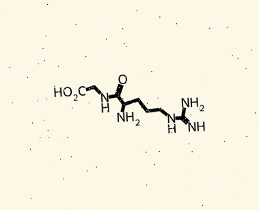 N=C(N)NCCCC(N)C(=O)NCC(=O)O